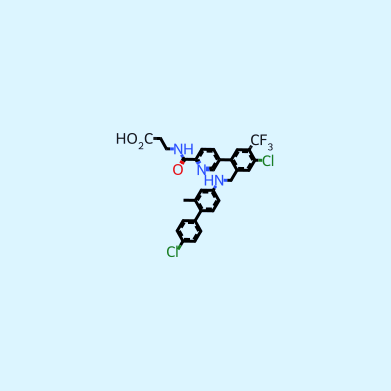 Cc1cc(NCc2cc(Cl)c(C(F)(F)F)cc2-c2ccc(C(=O)NCCC(=O)O)nc2)ccc1-c1ccc(Cl)cc1